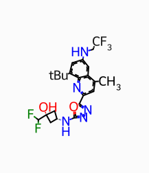 Cc1cc(-c2nnc(N[C@H]3C[C@](O)(C(F)F)C3)o2)nc2c(C(C)(C)C)cc(NCC(F)(F)F)cc12